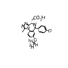 [2H]C([2H])([2H])Oc1ccc2c(c1)C(c1ccc(Cl)cc1)=N[C@@H](CC(=O)O)c1nnc(C)n1-2